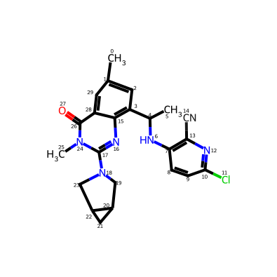 Cc1cc(C(C)Nc2ccc(Cl)nc2C#N)c2nc(N3CC4CC4C3)n(C)c(=O)c2c1